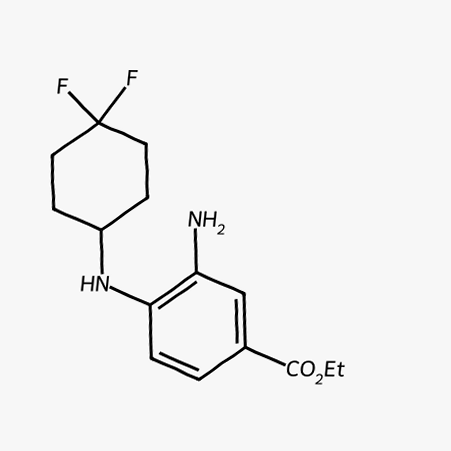 CCOC(=O)c1ccc(NC2CCC(F)(F)CC2)c(N)c1